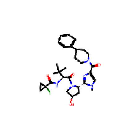 Cn1cc(C(=O)N2CCC(c3ccccc3)CC2)nc1[C@@H]1C[C@@H](O)CN1C(=O)[C@@H](NC(=O)C1(F)CC1)C(C)(C)C